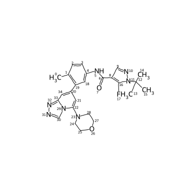 Cc1ccc(NC(=O)c2cnn(C(C)(C)C)c2F)cc1-c1cc(N2CCOCC2)n2cnnc2c1